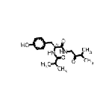 CC(C)C(=O)CNC(=O)[C@H](Cc1ccc(O)cc1)NC(=O)C(C)C